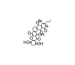 CCCc1c(Br)c2c(c(=O)n1C)C(=O)C1=C(CCc3c1c(O)c1c(=O)c4c(oc1c3OC)[C@@H](O)CC[C@@H]4O)C2=O